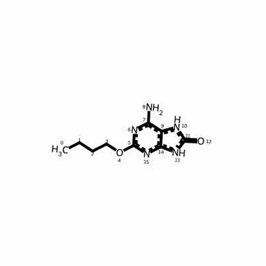 CCCCOc1nc(N)c2[nH]c(=O)[nH]c2n1